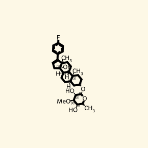 CO[C@H]1[C@H](O)[C@H](O[C@H]2CC[C@@]3(C)[C@H](CC[C@@H]4[C@@H]3CC[C@]3(C)C(c5ccc(F)cc5)=CC[C@]43O)C2)O[C@@H](C)[C@@H]1O